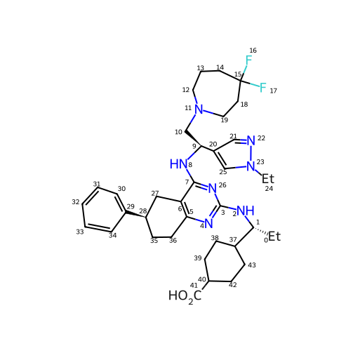 CC[C@@H](Nc1nc2c(c(N[C@@H](CN3CCCC(F)(F)CC3)c3cnn(CC)c3)n1)C[C@H](c1ccccc1)CC2)C1CCC(C(=O)O)CC1